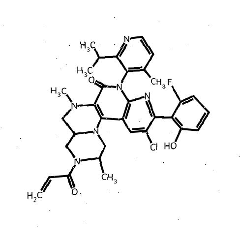 C=CC(=O)N1CC2CN(C)c3c(c4cc(Cl)c(-c5c(O)cccc5F)nc4n(-c4c(C)ccnc4C(C)C)c3=O)N2CC1C